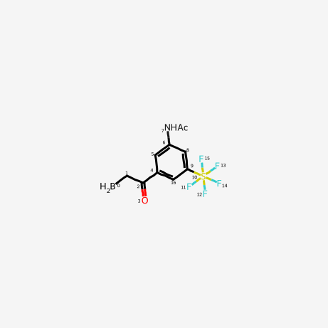 BCC(=O)c1cc(NC(C)=O)cc(S(F)(F)(F)(F)F)c1